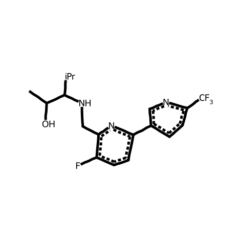 CC(C)C(NCc1nc(-c2ccc(C(F)(F)F)nc2)ccc1F)C(C)O